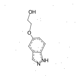 OCCOc1ccc2[nH]ncc2c1